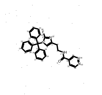 O=C(NCCc1cn(C(c2ccccc2)(c2ccccc2)c2ccccc2)c(F)n1)c1ccnnc1